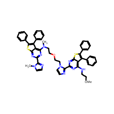 COCCNc1nc(-c2nccn2CCOCCN(C)c2nc(-c3nccn3C)nc3sc(-c4ccccc4)c(-c4ccccc4)c23)nc2sc(-c3ccccc3)c(-c3ccccc3)c12